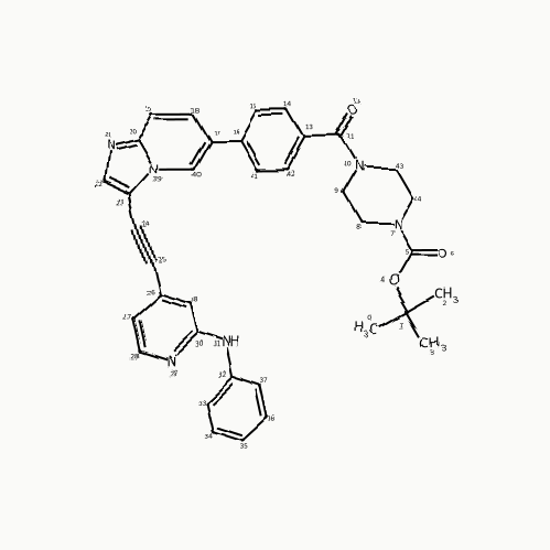 CC(C)(C)OC(=O)N1CCN(C(=O)c2ccc(-c3ccc4ncc(C#Cc5ccnc(Nc6ccccc6)c5)n4c3)cc2)CC1